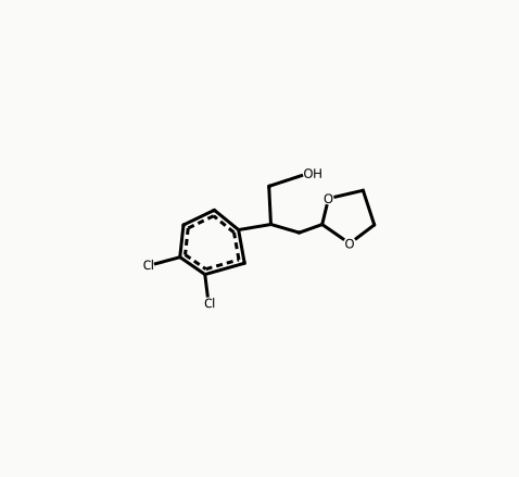 OCC(CC1OCCO1)c1ccc(Cl)c(Cl)c1